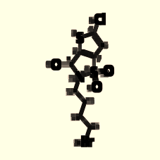 O=C1c2sc(Cl)cc2S(=O)(=O)N1CCCCBr